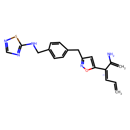 C=C/C=C(\C(=C)N)c1cc(Cc2ccc(CNc3ncns3)cc2)no1